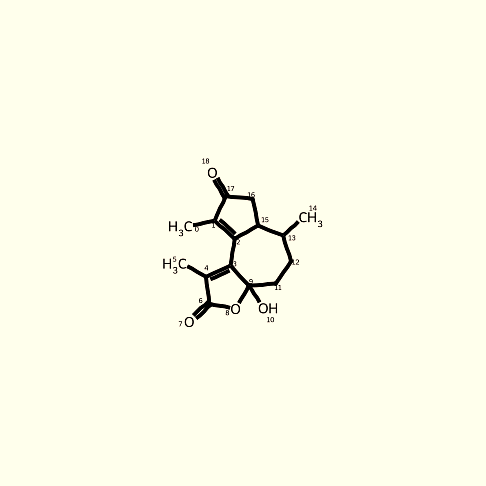 CC1=C2C3=C(C)C(=O)OC3(O)CCC(C)C2CC1=O